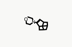 C1=C(N2CCOCC2)C2CC3CC4CC1C432